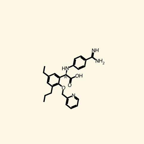 CCCc1cc(CC)cc([C@@H](Nc2ccc(C(=N)N)cc2)C(=O)O)c1OCc1ccccn1